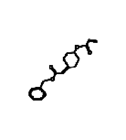 C=CC(=O)OC1CCC(=CC(=O)OCc2ccccc2)CC1